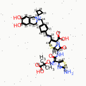 CC(C)(O/N=C(\C(=O)N[C@@H]1C(=O)N2C(C(=O)O)=C(/C=C/c3ccc(C[N+]4(C5CCC5)CCc5cc(O)c(O)cc5C4)cc3)CS[C@H]12)c1csc(N)n1)C(=O)O